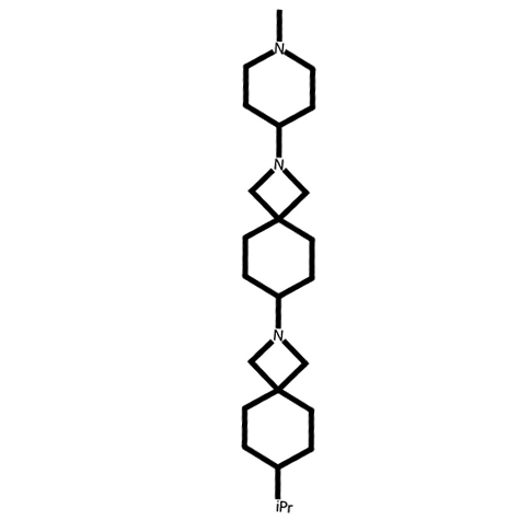 CC(C)C1CCC2(CC1)CN(C1CCC3(CC1)CN(C1CCN(C)CC1)C3)C2